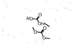 CC.COC(=O)OC.O=C(O)O